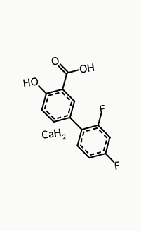 O=C(O)c1cc(-c2ccc(F)cc2F)ccc1O.[CaH2]